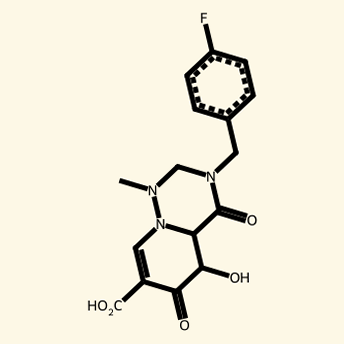 CN1CN(Cc2ccc(F)cc2)C(=O)C2C(O)C(=O)C(C(=O)O)=CN21